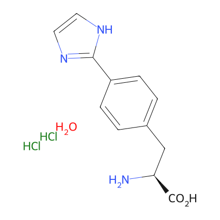 Cl.Cl.N[C@@H](Cc1ccc(-c2ncc[nH]2)cc1)C(=O)O.O